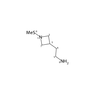 CSN1CC(CCN)C1